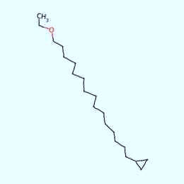 CCOCCCCCCCCCCCCCCCC1CC1